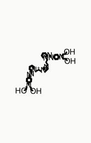 OCCN(CCO)c1ccc(/N=N/c2cccc[n+]2CCCn2cc[n+](CCC[n+]3ccccc3/N=N/c3ccc(N(CCO)CCO)cc3)c2)cc1